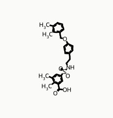 Cc1cccc(COc2ccc(CCNS(=O)(=O)c3cc(C)c(C)c(C(=O)O)c3)cc2)c1C